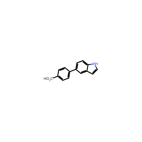 O=C(O)c1ccc(-c2ccc3[nH]ccc3c2)cc1